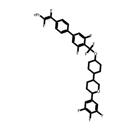 CCC/C(F)=C(\F)c1ccc(-c2cc(F)c(C(F)(F)OC3CCC(C4CCC(c5cc(F)c(F)c(F)c5)OC4)CC3)c(F)c2)cc1